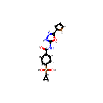 O=C(Nc1nnc(-c2cccs2)o1)c1ccc(S(=O)(=O)C2CC2)cc1